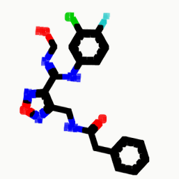 O=C(Cc1ccccc1)NCc1nonc1/C(=N/CO)Nc1ccc(F)c(Cl)c1